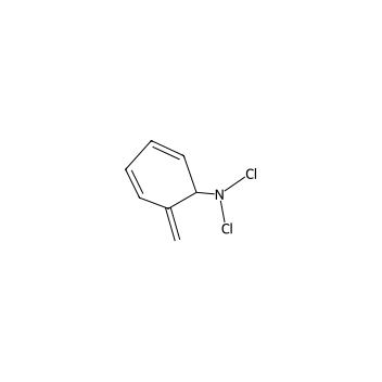 C=C1C=CC=CC1N(Cl)Cl